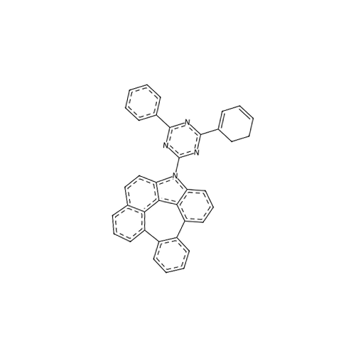 C1=CCCC(c2nc(-c3ccccc3)nc(-n3c4cccc5c4c4c6c(cccc6ccc43)-c3ccccc3-5)n2)=C1